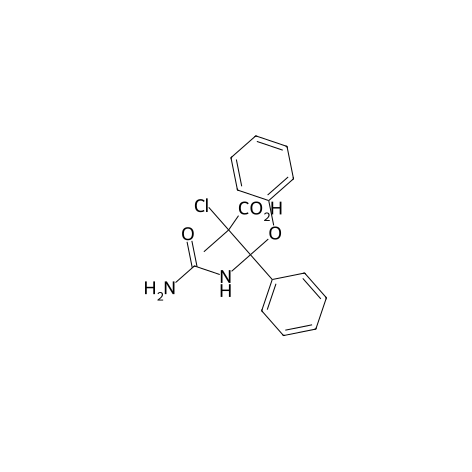 CC(Cl)(C(=O)O)C(NC(N)=O)(Oc1ccccc1)c1ccccc1